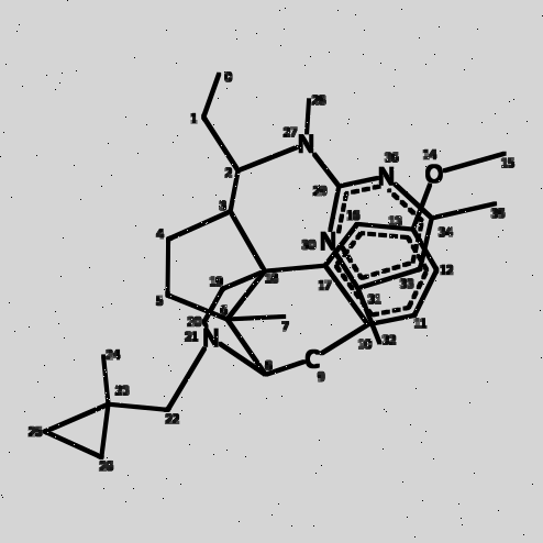 CCC(C1CCC2(C)C3Cc4ccc(OC)cc4C12CCN3CC1(C)CC1)N(C)c1nc(C)cc(C)n1